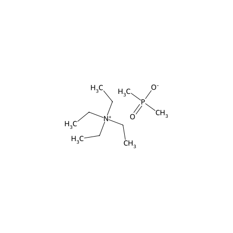 CC[N+](CC)(CC)CC.CP(C)(=O)[O-]